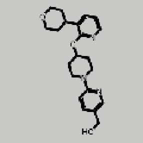 OCc1ccc(N2CCC(Oc3ncccc3C3CCOCC3)CC2)nc1